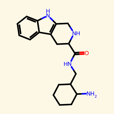 NC1CCCCC1CNC(=O)C1Cc2c([nH]c3ccccc23)CN1